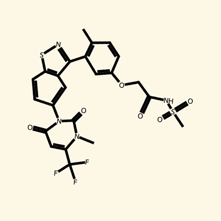 Cc1ccc(OCC(=O)NS(C)(=O)=O)cc1-c1nsc2ccc(-n3c(=O)cc(C(F)(F)F)n(C)c3=O)cc12